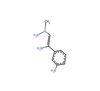 CN(N)/C=C(\N)c1cccc(N)c1